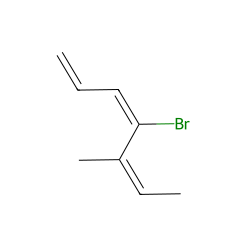 C=C/C=C(Br)\C(C)=C/C